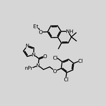 CCCN(CCOc1c(Cl)cc(Cl)cc1Cl)C(=O)n1ccnc1.CCOc1ccc2c(c1)C(C)=CC(C)(C)N2